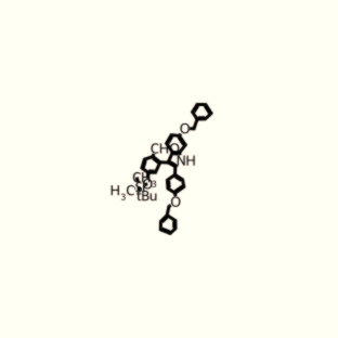 CC(C)(C)[Si](C)(C)Oc1ccc(C=O)c(-c2c(-c3ccc(OCc4ccccc4)cc3)[nH]c3cc(OCc4ccccc4)ccc23)c1